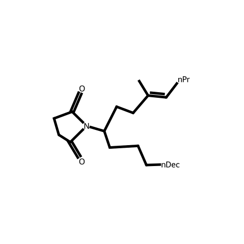 CCC/C=C(\C)CCC(CCCCCCCCCCCCC)N1C(=O)CCC1=O